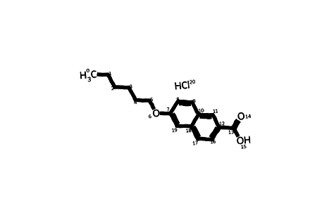 CCCCCCOc1ccc2cc(C(=O)O)ccc2c1.Cl